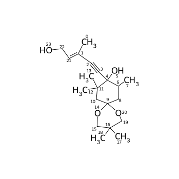 CC(C#CC1(O)C(C)CC2(CC1(C)C)OCC(C)(C)CO2)=CCO